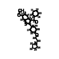 COc1ccc2c(C(=O)c3ccccc3)c(-c3ccc(OCCN4CCCC4)cc3)sc2c1